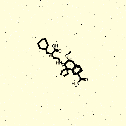 CCC1(CC)c2cc(C(N)=O)ccc2C[C@H](OC)[C@@H]1NCC[C@@H](CC1CCCCC1)C(=O)O